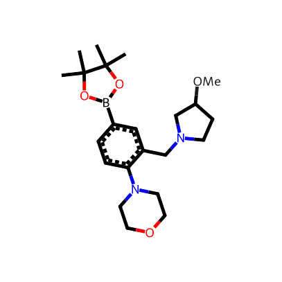 COC1CCN(Cc2cc(B3OC(C)(C)C(C)(C)O3)ccc2N2CCOCC2)C1